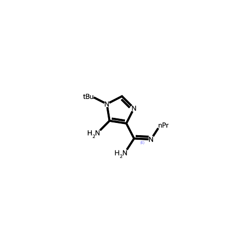 CCC/N=C(/N)c1ncn(C(C)(C)C)c1N